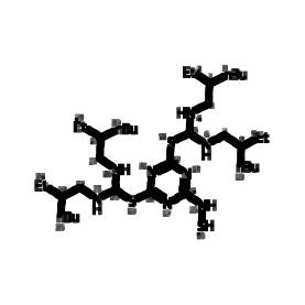 CCCCC(CC)CNC(NCC(CC)CCCC)Sc1nc(NS)nc(SC(NCC(CC)CCCC)NCC(CC)CCCC)n1